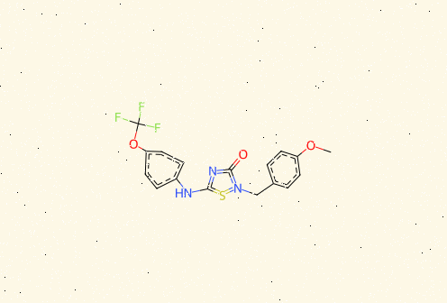 COc1ccc(Cn2sc(Nc3ccc(OC(F)(F)F)cc3)nc2=O)cc1